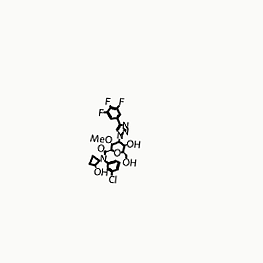 CO[C@@H]1[C@@H](n2cc(-c3cc(F)c(F)c(F)c3)nn2)[C@@H](O)[C@@H](CO)O[C@H]1C(=O)N(c1cccc(Cl)c1)[C@H]1CC[C@@H]1O